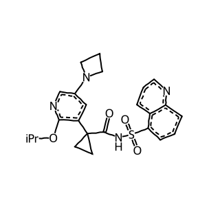 CC(C)Oc1ncc(N2CCC2)cc1C1(C(=O)NS(=O)(=O)c2cccc3ncccc23)CC1